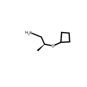 C[C@@H](CN)OC1CCC1